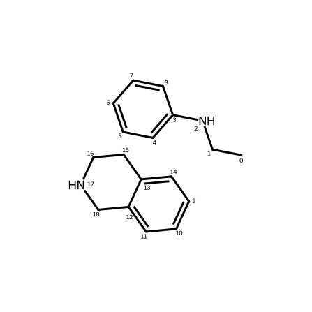 CCNc1ccccc1.c1ccc2c(c1)CCNC2